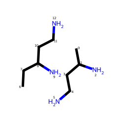 CC(N)CCN.CCC(N)CCN